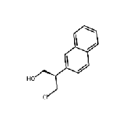 OC[C@H](CCl)c1ccc2ccccc2c1